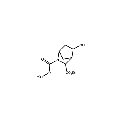 CCOC(=O)C1C2CC(CC2O)N1C(=O)OC(C)(C)C